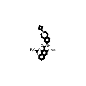 COc1cc2ccccc2c(OC(=O)C(F)(F)F)c1C(=O)Nc1ccc2c(c1)CCN(C1CCC1)CC2